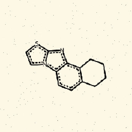 c1cn2c(nc3c4c(ccc32)CCCC4)s1